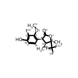 COc1c([C@H]2C(=O)O[C@@](C)(C(F)(F)F)[C@H]2C)ccc(O)c1F